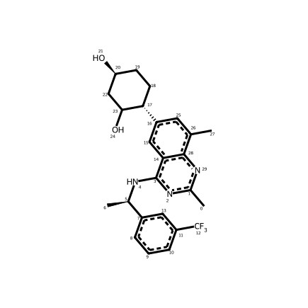 Cc1nc(N[C@H](C)c2cccc(C(F)(F)F)c2)c2cc([C@H]3CC[C@H](O)CC3O)cc(C)c2n1